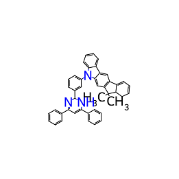 CC1(C)c2cc3c(cc2C2=CC=CCC21)c1ccccc1n3-c1cccc(C2N=C(c3ccccc3)C=C(c3ccccc3)N2)c1